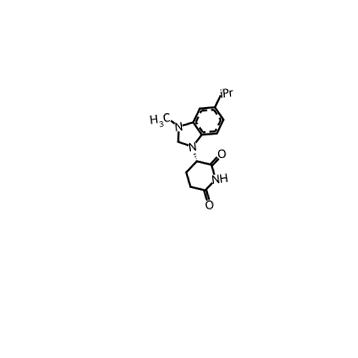 CC(C)c1ccc2c(c1)N(C)CN2[C@H]1CCC(=O)NC1=O